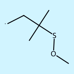 [CH2]CC(C)(C)SOC